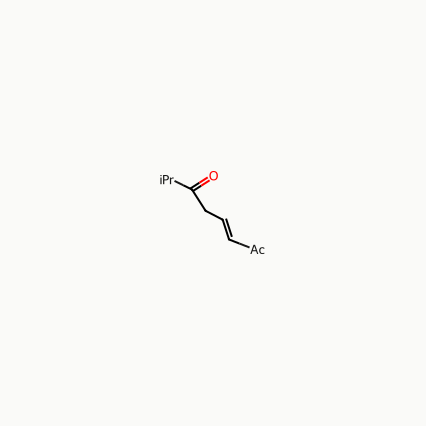 CC(=O)/C=C/CC(=O)C(C)C